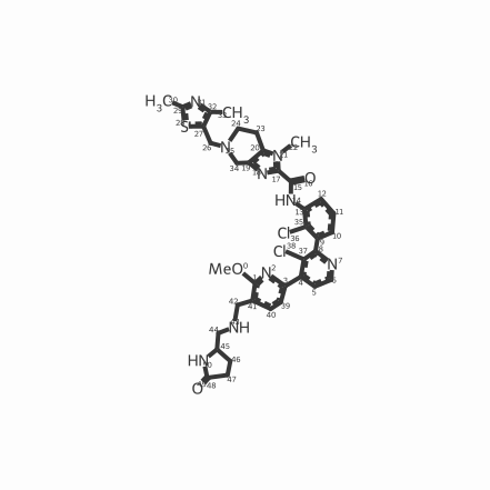 COc1nc(-c2ccnc(-c3cccc(NC(=O)c4nc5c(n4C)CCN(Cc4sc(C)nc4C)C5)c3Cl)c2Cl)ccc1CNCC1CCC(=O)N1